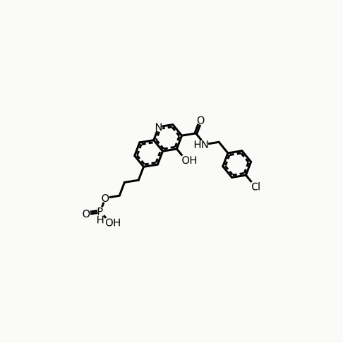 O=C(NCc1ccc(Cl)cc1)c1cnc2ccc(CCCO[PH](=O)O)cc2c1O